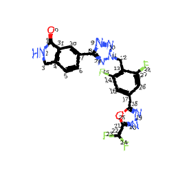 O=C1NCc2ccc(-c3nnn(Cc4c(F)cc(-c5nnc(C(F)F)o5)cc4F)n3)cc21